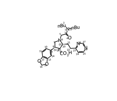 CCCCN(CCCC)C(=O)CN1C[C@H](c2ccc3c(c2)OCO3)[C@@H](C(=O)O)[C@@H]1CCc1ccncn1